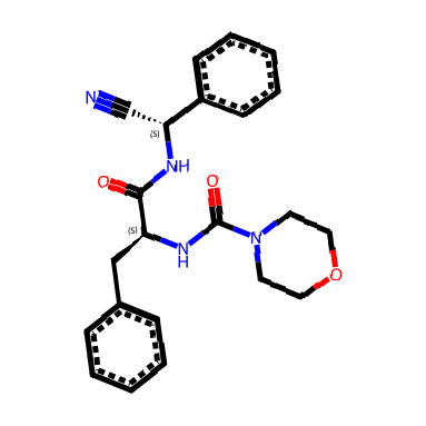 N#C[C@@H](NC(=O)[C@H](Cc1ccccc1)NC(=O)N1CCOCC1)c1ccccc1